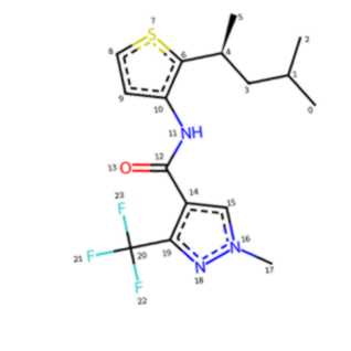 CC(C)C[C@H](C)c1sccc1NC(=O)c1cn(C)nc1C(F)(F)F